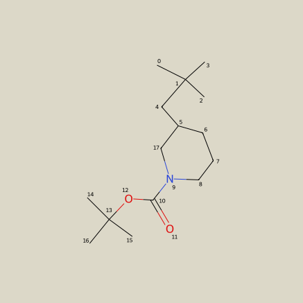 CC(C)(C)CC1CCCN(C(=O)OC(C)(C)C)C1